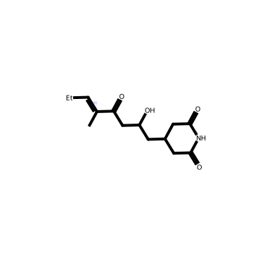 CC/C=C(\C)C(=O)CC(O)CC1CC(=O)NC(=O)C1